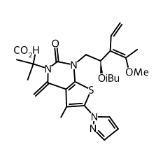 C=C/C(=C(\C)OC)[C@H](CN1C(=O)N(C(C)(C)C(=O)O)C(=C)c2c1sc(-n1cccn1)c2C)OCC(C)C